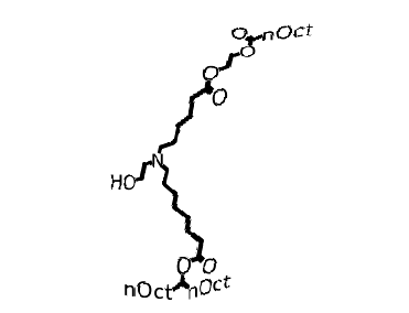 CCCCCCCCC(=O)OCCOC(=O)CCCCCN(CCO)CCCCCCCC(=O)OC(CCCCCCCC)CCCCCCCC